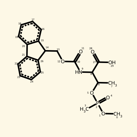 COP(C)(=O)OC(C)C(NC(=O)OCC1c2ccccc2-c2ccccc21)C(=O)O